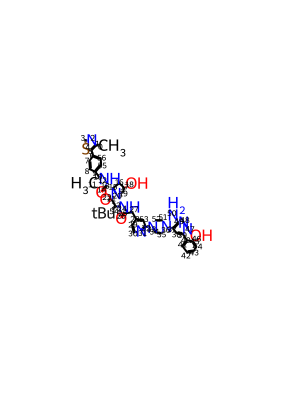 Cc1ncsc1-c1ccc([C@@H](C)NC(=O)[C@@H]2C[C@@H](O)CN2C(=O)C(NC(=O)Cc2ccnc(N3CCN(c4cc(-c5ccccc5O)nnc4N)CC3)c2)C(C)(C)C)cc1